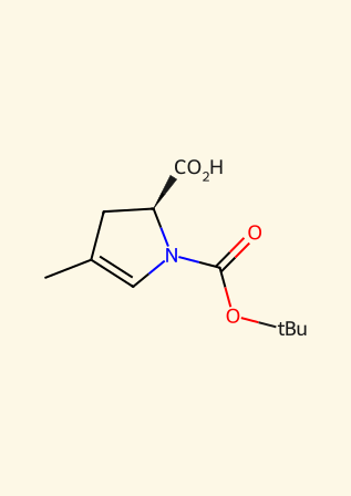 CC1=CN(C(=O)OC(C)(C)C)[C@H](C(=O)O)C1